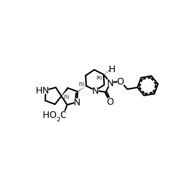 O=C(O)C1N=C([C@@H]2CC[C@@H]3CN2C(=O)N3OCc2ccccc2)C[C@]12CCNC2